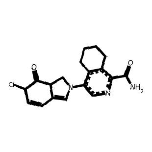 NC(=O)c1ncc(N2C=C3C=CC(Cl)C(=O)C3C2)c2c1[CH]CCC2